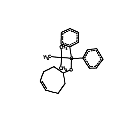 CC(C)(C)[Si](OC1CCC=CCC1)(c1ccccc1)c1ccccc1